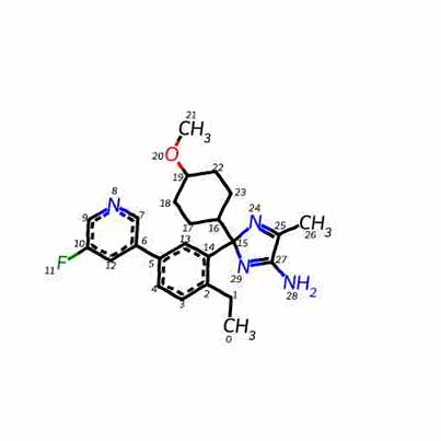 CCc1ccc(-c2cncc(F)c2)cc1C1(C2CCC(OC)CC2)N=C(C)C(N)=N1